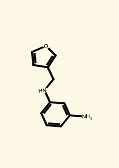 Nc1cccc(NCc2ccoc2)c1